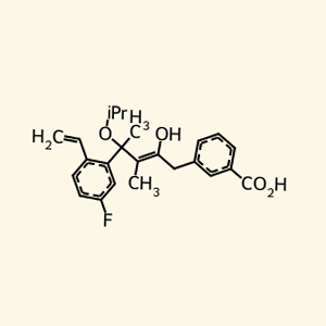 C=Cc1ccc(F)cc1C(C)(OC(C)C)C(C)=C(O)Cc1cccc(C(=O)O)c1